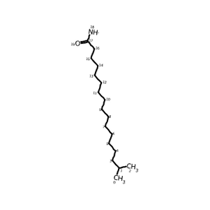 CC(C)CCCCCCCCCCCCCCC([NH])=O